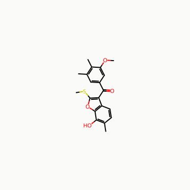 COc1cc(C(=O)c2c(SC)oc3c(O)c(C)ccc23)cc(C)c1C